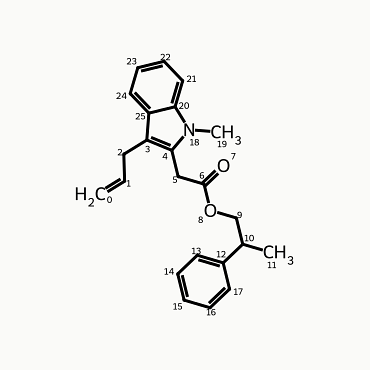 C=CCc1c(CC(=O)OCC(C)c2ccccc2)n(C)c2ccccc12